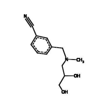 CN(Cc1cccc(C#N)c1)CC(O)CO